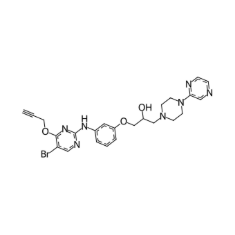 C#CCOc1nc(Nc2cccc(OCC(O)CN3CCN(c4cnccn4)CC3)c2)ncc1Br